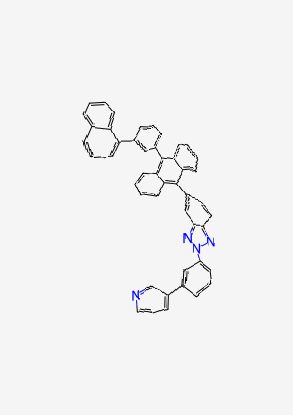 c1cncc(-c2cccc(-n3nc4ccc(-c5c6ccccc6c(-c6cccc(-c7cccc8ccccc78)c6)c6ccccc56)cc4n3)c2)c1